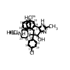 Cc1nc(C(O)C(Cc2ccccc2)(c2ccc(Cl)cc2)N2CCNCC2)c(-c2ccccc2)[nH]1.Cl.Cl.Cl